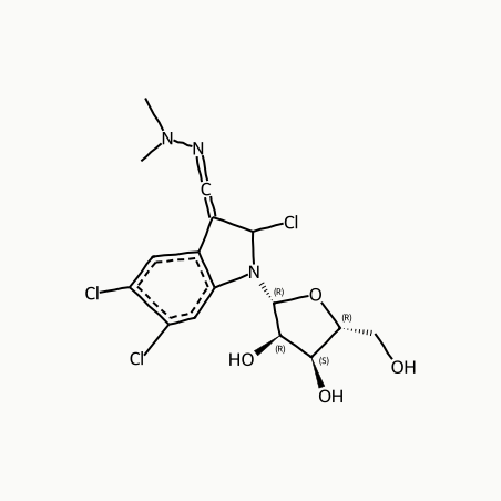 CN(C)N=C=C1c2cc(Cl)c(Cl)cc2N([C@@H]2O[C@H](CO)[C@@H](O)[C@H]2O)C1Cl